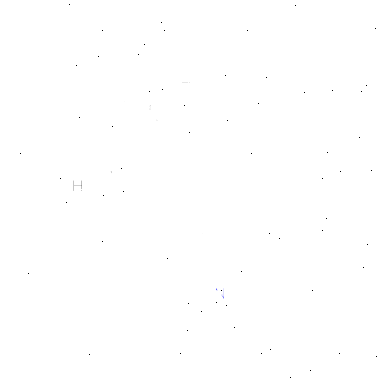 c1ccc2c(c1)c1c(c3cccnc32)[C@H]2CC[C@@H]1C2